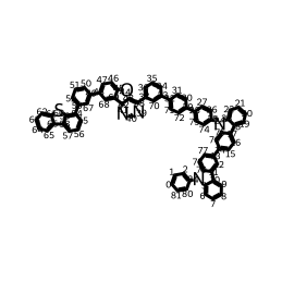 c1ccc(-n2c3ccccc3c3cc(-c4ccc5c6ccccc6n(-c6ccc(-c7ccc(-c8cccc(-c9ncnc%10c9oc9ccc(-c%11cccc(-c%12cccc%13c%12sc%12ccccc%12%13)c%11)cc9%10)c8)cc7)cc6)c5c4)ccc32)cc1